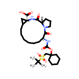 CC(C)(C)S(=O)(=O)CC1(OC(=O)N[C@H]2CCCCCCC3C[C@@]3(C(=O)O)NC(=O)[C@@H]3CCCN3C2=O)CCCCC1